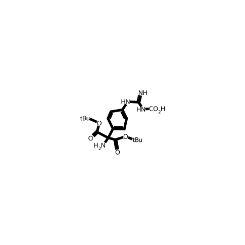 CC(C)(C)OC(=O)C(N)(C(=O)OC(C)(C)C)c1ccc(NC(=N)NC(=O)O)cc1